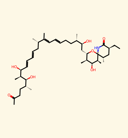 CC[C@H]1C[C@H](C)[C@@]2(NC1=O)O[C@@H](C[C@H](O)[C@@H](C)CC/C=C/C=C(\C)[C@@H](C)C/C=C/C=C/[C@H](O)[C@H](C)[C@@H](O)[C@H](C)CCC(C)=O)[C@H](C)[C@H](O)[C@@H]2C